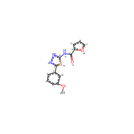 CCOc1cccc(-c2nnc(NC(=O)c3ccco3)s2)c1